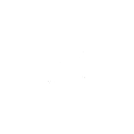 COC=Cc1c(Br)cc(Cl)cc1Br